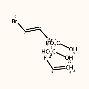 BrC=CBr.C=CF.O=C(O)O.O=C(O)O